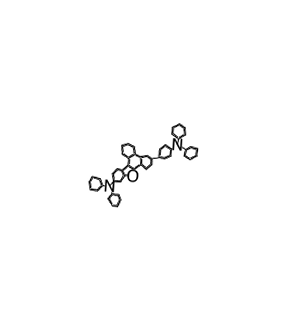 c1ccc(N(c2ccccc2)c2ccc(-c3ccc4c(c3)c3ccccc3c3c5ccc(N(c6ccccc6)c6ccccc6)cc5oc43)cc2)cc1